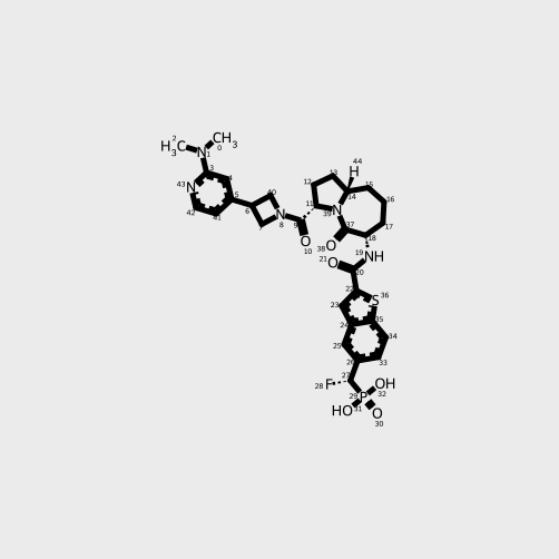 CN(C)c1cc(C2CN(C(=O)[C@@H]3CC[C@@H]4CCC[C@H](NC(=O)c5cc6cc([C@@H](F)P(=O)(O)O)ccc6s5)C(=O)N43)C2)ccn1